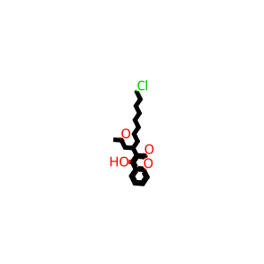 CC(=O)CC(CCCCCCCCCl)c1c(O)c2ccccc2oc1=O